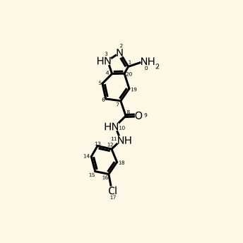 Nc1n[nH]c2ccc(C(=O)NNc3cccc(Cl)c3)cc12